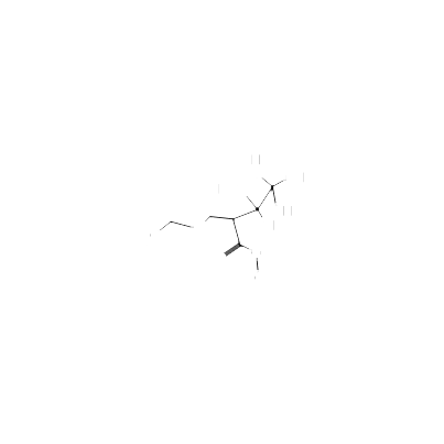 CCOCC(C(=O)OC)C(C)(C)C(C)(C)C